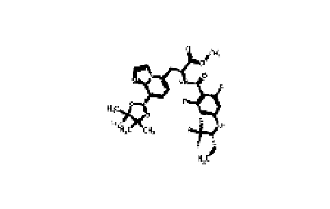 CC[C@@H](Nc1cc(F)c(C(=O)N[C@@H](Cc2ccc(B3OC(C)(C)C(C)(C)O3)c3nccn23)C(=O)OC)c(F)c1)C(F)(F)F